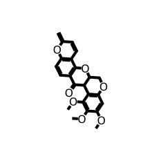 C=C1C=Cc2c(ccc3c2OC2COc4cc(OC)c(OC)c(OC)c4C2C3=O)O1